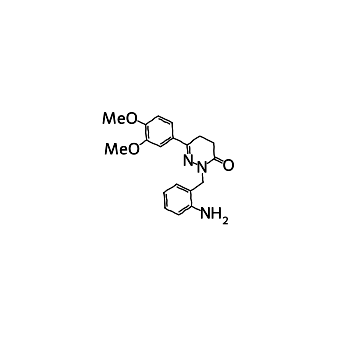 COc1ccc(C2=NN(Cc3ccccc3N)C(=O)CC2)cc1OC